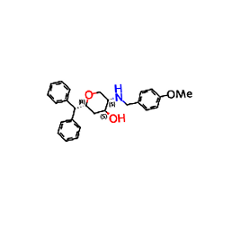 COc1ccc(CN[C@H]2CO[C@@H](C(c3ccccc3)c3ccccc3)C[C@@H]2O)cc1